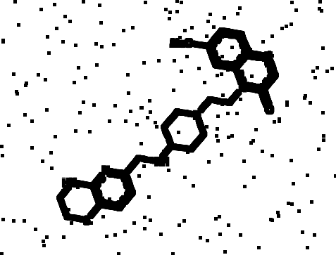 COc1ccc2ncc(=O)n(CCN3CCC(NCc4ccc5c(n4)NCCS5)CC3)c2c1